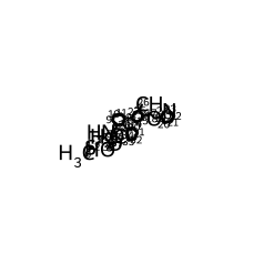 CSCC[C@H](NC(=O)c1cccc(-c2ccc(COc3cccnc3)c(C)c2)c1-c1ccccc1C)C(=O)O